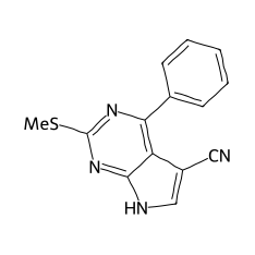 CSc1nc(-c2ccccc2)c2c(C#N)c[nH]c2n1